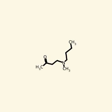 CCCCN(C)CCC(C)=O